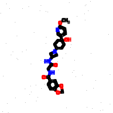 COc1ccc(C2(O)CCC(N3CC(NC(=O)CNC(=O)c4ccc5c(c4)OCO5)C3)CC2)cn1